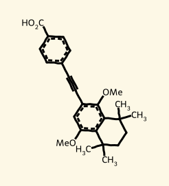 COc1cc(C#Cc2ccc(C(=O)O)cc2)c(OC)c2c1C(C)(C)CCC2(C)C